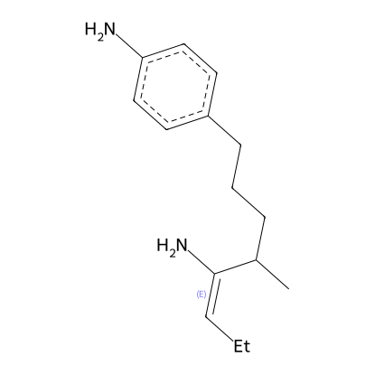 CC/C=C(/N)C(C)CCCc1ccc(N)cc1